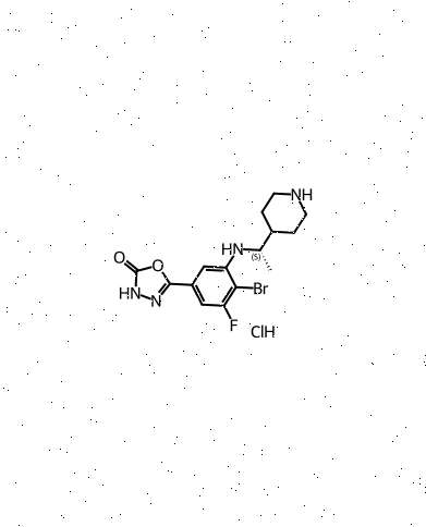 C[C@H](Nc1cc(-c2n[nH]c(=O)o2)cc(F)c1Br)C1CCNCC1.Cl